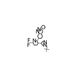 COc1cc2ccc(-c3nc(C(F)F)ccc3-c3cnn(CC(C)(C)C)c3)cc2nn1